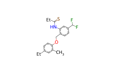 CCC(=S)Nc1cc(C(F)F)ccc1COc1ccc(CC)cc1C